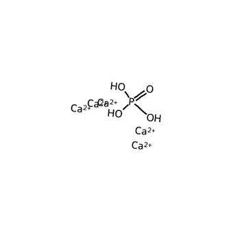 O=P(O)(O)O.[Ca+2].[Ca+2].[Ca+2].[Ca+2].[Ca+2]